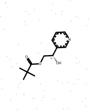 CC(C)(C)C(=O)OC[C@@H](O)c1cccnc1